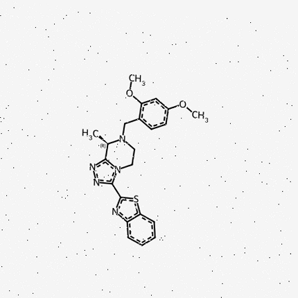 COc1ccc(CN2CCn3c(-c4nc5ccccc5s4)nnc3[C@H]2C)c(OC)c1